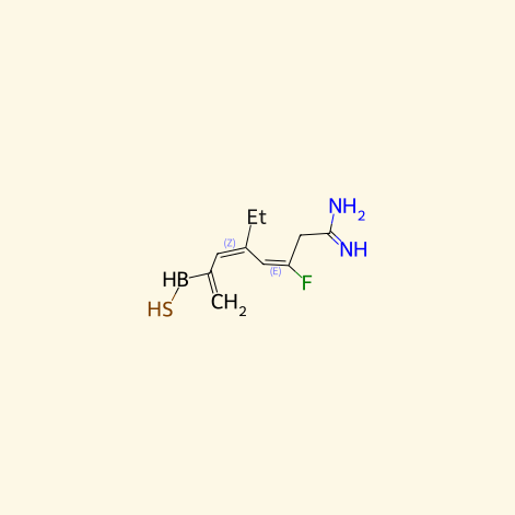 C=C(BS)/C=C(\C=C(\F)CC(=N)N)CC